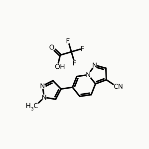 Cn1cc(-c2ccc3c(C#N)cnn3c2)cn1.O=C(O)C(F)(F)F